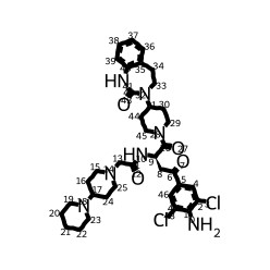 Nc1c(Cl)cc(C(=O)C[C@@H](NC(=O)CN2CCC(N3CCCCC3)CC2)C(=O)N2CCC(N3CCc4ccccc4NC3=O)CC2)cc1Cl